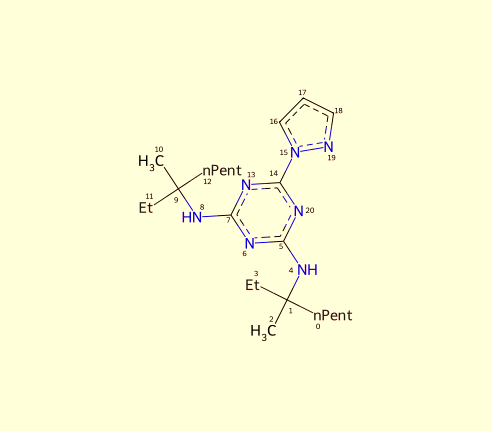 CCCCCC(C)(CC)Nc1nc(NC(C)(CC)CCCCC)nc(-n2cccn2)n1